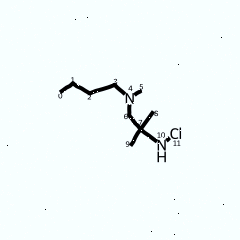 CCCCN(C)CC(C)(C)NCl